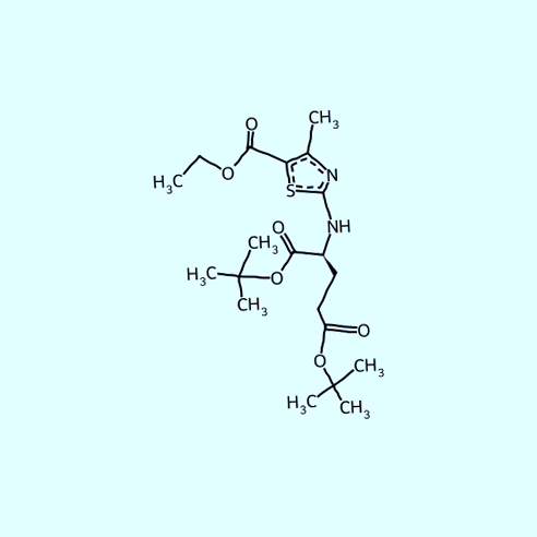 CCOC(=O)c1sc(N[C@@H](CCC(=O)OC(C)(C)C)C(=O)OC(C)(C)C)nc1C